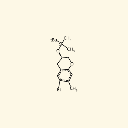 CCc1cc2c(cc1C)OC[C@H](O[Si](C)(C)C(C)(C)C)C2